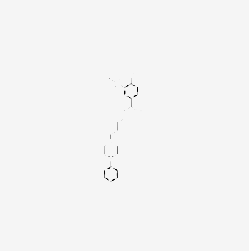 CSc1ccc(C(O)CCCCCN2CCN(c3ccccc3)CC2)cc1S(N)(=O)=O